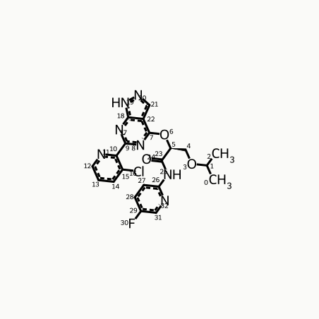 CC(C)OC[C@H](Oc1nc(-c2ncccc2Cl)nc2[nH]ncc12)C(=O)Nc1ccc(F)cn1